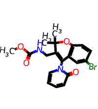 COC(=O)NCC1=C(n2ccccc2=O)c2cc(Br)ccc2OC1(C)C